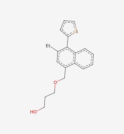 CCc1cc(COCCCO)c2ccccc2c1-c1cccs1